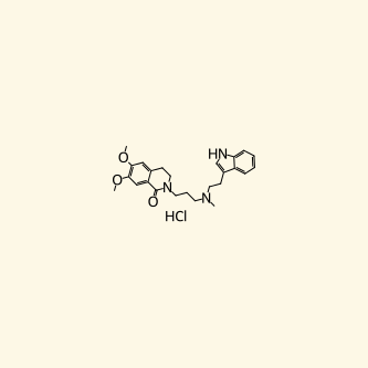 COc1cc2c(cc1OC)C(=O)N(CCCN(C)CCc1c[nH]c3ccccc13)CC2.Cl